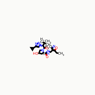 CCc1onc(C)c1CNC(=O)[C@@H]1C[C@@H](O)CN1C(=O)C(n1cc(C2CC2)nn1)C(C)(C)C